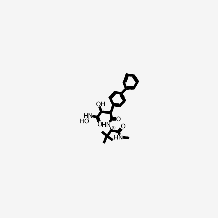 CNC(=O)[C@@H](NC(=O)C(c1ccc(-c2ccccc2)cc1)C(O)C(=O)NO)C(C)(C)C